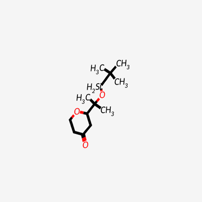 CC(C)(C)[SiH2]OC(C)(C)C1CC(=O)CCO1